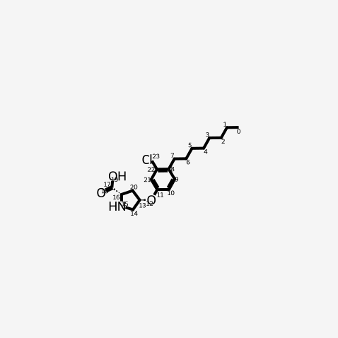 CCCCCCCCc1ccc(O[C@@H]2CN[C@H](C(=O)O)C2)cc1Cl